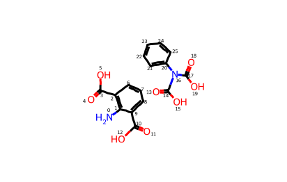 Nc1c(C(=O)O)cccc1C(=O)O.O=C(O)N(C(=O)O)c1ccccc1